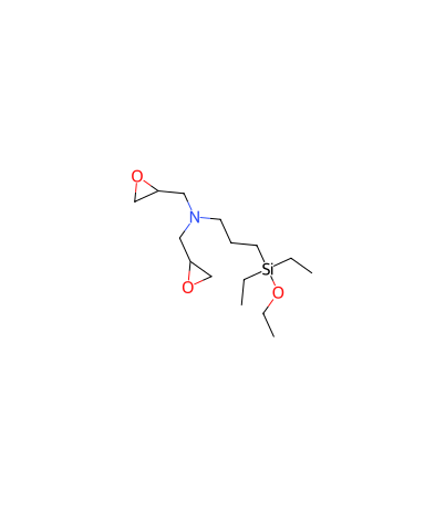 CCO[Si](CC)(CC)CCCN(CC1CO1)CC1CO1